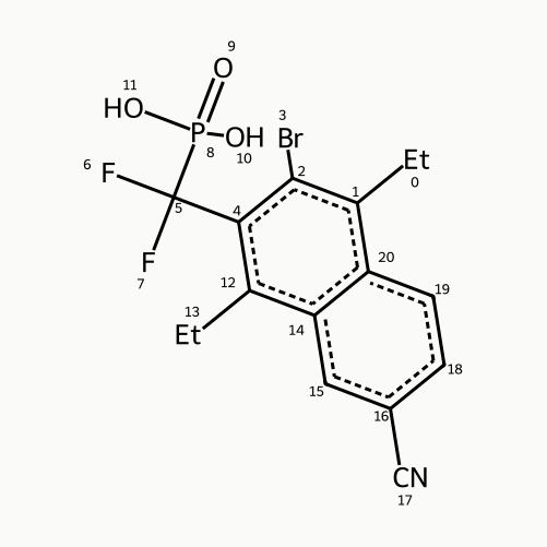 CCc1c(Br)c(C(F)(F)P(=O)(O)O)c(CC)c2cc(C#N)ccc12